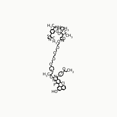 C=CC(=O)N1CCN(c2nc(O[C@H](C)CN3CCC(OCCOCCOCCOCCOc4cc([C@@H](C(=O)N5CCC[C@H]5C(=O)N[C@@H](C)c5ccc(-c6scnc6C)cc5)C(C)C)on4)CC3)nc3c(F)c(-c4cc(O)cc5ccccc45)c(Cl)cc23)CC1